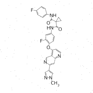 Cn1cc(-c2cc3nccc(Oc4ccc(NC(=O)C5(C(=O)Nc6ccc(F)cc6)CC5)cc4F)c3cn2)cn1